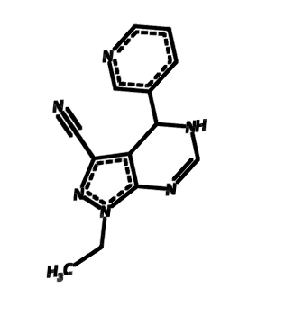 CCn1nc(C#N)c2c1N=CNC2c1cccnc1